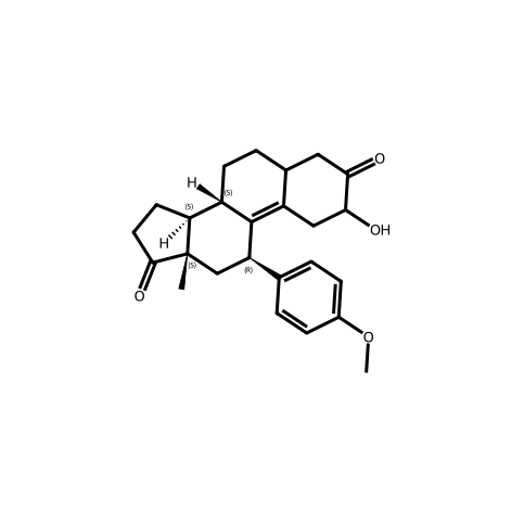 COc1ccc([C@H]2C[C@]3(C)C(=O)CC[C@H]3[C@@H]3CCC4CC(=O)C(O)CC4=C32)cc1